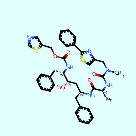 CC(C)[C@H](NC(=O)N(C)Cc1csc(-c2ccccc2)n1)C(=O)N[C@@H](Cc1ccccc1)C[C@H](O)[C@H](Cc1ccccc1)NC(=O)OCc1cncs1